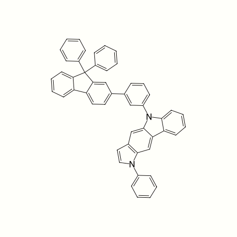 c1ccc(-n2ccc3cc4c(cc32)c2ccccc2n4-c2cccc(-c3ccc4c(c3)C(c3ccccc3)(c3ccccc3)c3ccccc3-4)c2)cc1